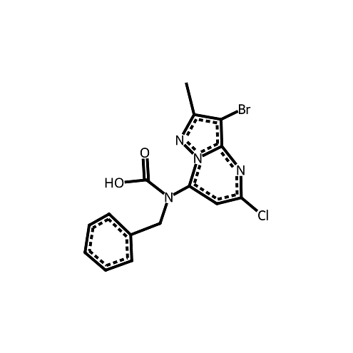 Cc1nn2c(N(Cc3ccccc3)C(=O)O)cc(Cl)nc2c1Br